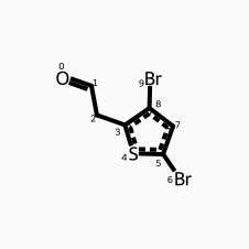 O=CCc1sc(Br)cc1Br